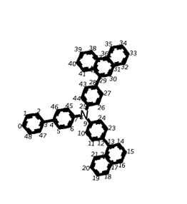 c1ccc(-c2ccc(N(c3ccc(-c4cccc5ccccc45)cc3)c3ccc(-c4cc5ccccc5c5ccccc45)cc3)cc2)cc1